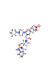 O=C(CC(Cc1ccc2[nH]c(=O)oc2c1)C(=O)N1CCN(C2CCCCC2)CC1)N1CCC(N2Cc3ccccc3NC2=O)CC1